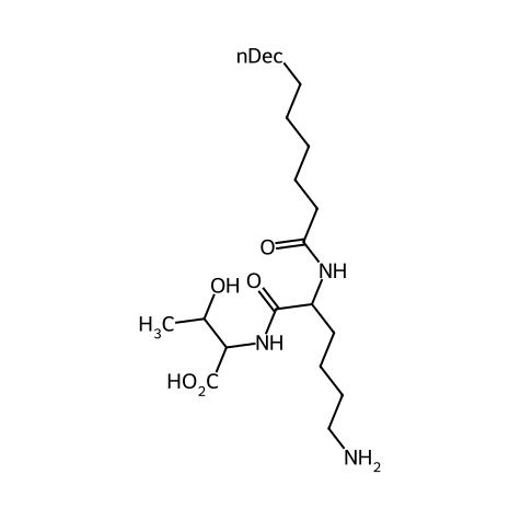 CCCCCCCCCCCCCCCC(=O)NC(CCCCN)C(=O)NC(C(=O)O)C(C)O